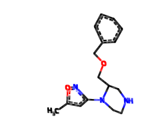 Cc1cc(N2CCNCC2COCc2ccccc2)no1